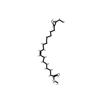 CCC1OC1CCCCCCC/C=C\CCCCCCC(=O)OC